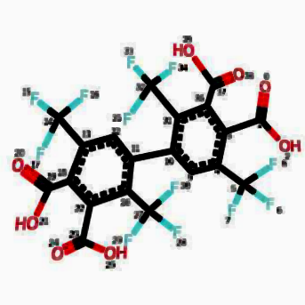 O=C(O)c1c(C(F)(F)F)cc(-c2cc(C(F)(F)F)c(C(=O)O)c(C(=O)O)c2C(F)(F)F)c(C(F)(F)F)c1C(=O)O